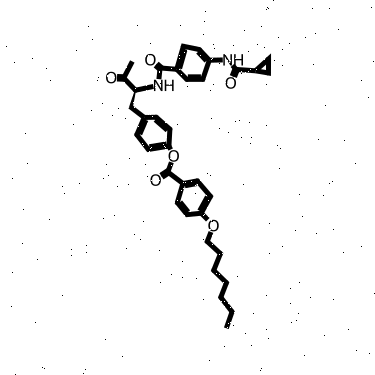 CCCCCCCOc1ccc(C(=O)Oc2ccc(C[C@H](NC(=O)c3ccc(NC(=O)C4CC4)cc3)C(C)=O)cc2)cc1